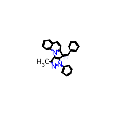 Cc1nn(-c2ccccc2)c2c1-[n+]1c(ccc3ccccc31)/C2=C\c1ccccc1